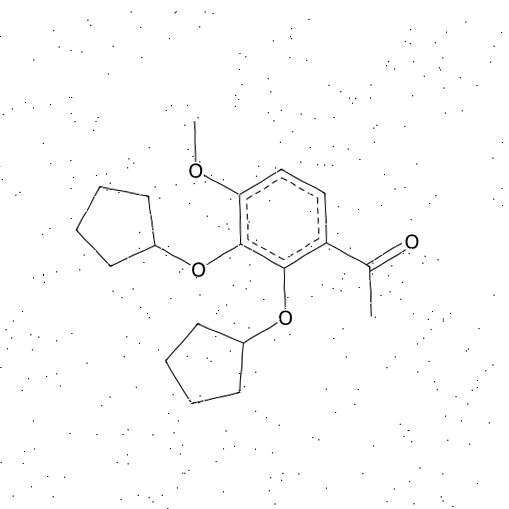 COc1ccc(C(C)=O)c(OC2CCCC2)c1OC1CCCC1